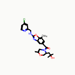 COc1cc(C(=O)N2CC(C)OCC2CC(C)(C)O)cc2nc(NCc3cc(Cl)ccn3)oc12